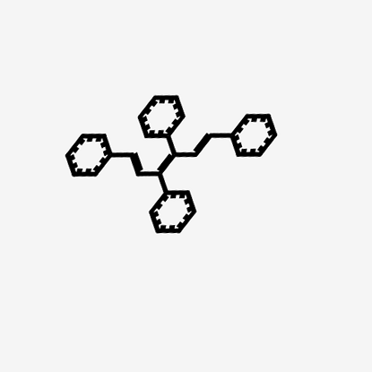 C(=Cc1ccccc1)C(=C(C=Cc1ccccc1)c1ccccc1)c1ccccc1